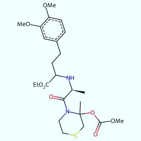 CCOC(=O)C(CCc1ccc(OC)c(OC)c1)N[C@@H](C)C(=O)N1CCSCC1(C)OC(=O)OC